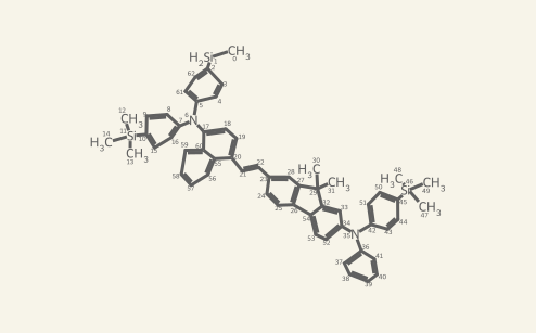 C[SiH2]c1ccc(N(c2ccc([Si](C)(C)C)cc2)c2ccc(/C=C/c3ccc4c(c3)C(C)(C)c3cc(N(c5ccccc5)c5ccc([Si](C)(C)C)cc5)ccc3-4)c3ccccc23)cc1